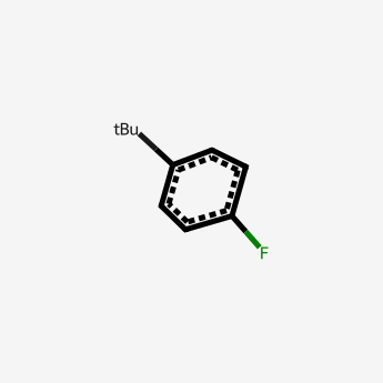 [CH2]C(C)(C)c1ccc(F)cc1